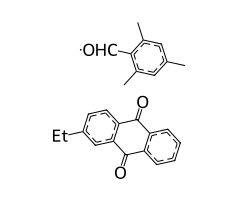 CCc1ccc2c(c1)C(=O)c1ccccc1C2=O.Cc1cc(C)c([C]=O)c(C)c1